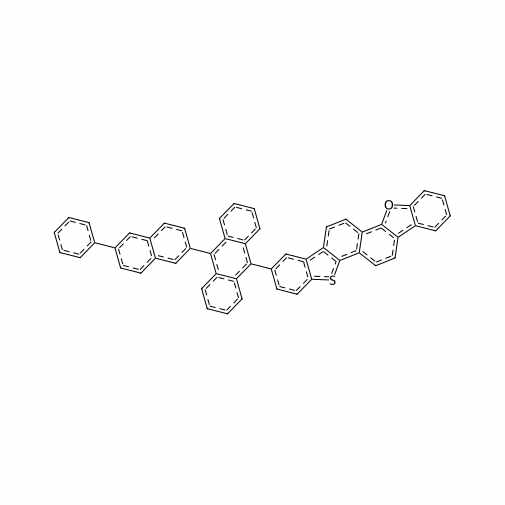 c1ccc(-c2ccc3cc(-c4c5ccccc5c(-c5ccc6sc7c(ccc8c7ccc7c9ccccc9oc78)c6c5)c5ccccc45)ccc3c2)cc1